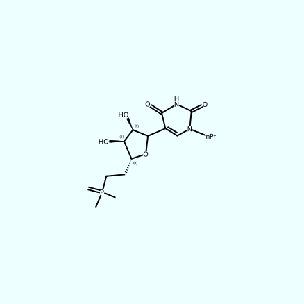 C=P(C)(C)CC[C@H]1OC(c2cn(CCC)c(=O)[nH]c2=O)[C@H](O)[C@@H]1O